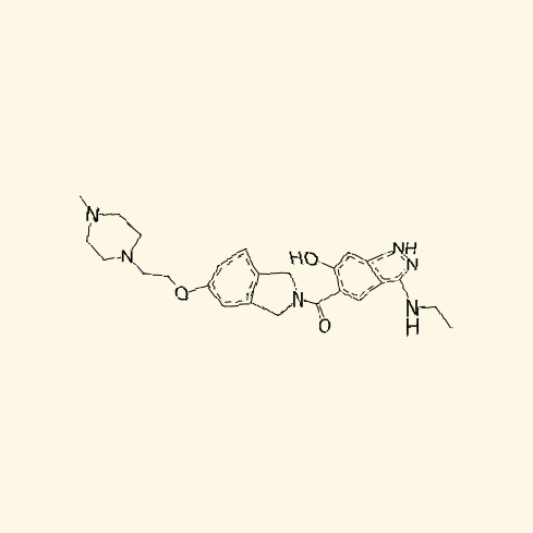 CCNc1n[nH]c2cc(O)c(C(=O)N3Cc4ccc(OCCN5CCN(C)CC5)cc4C3)cc12